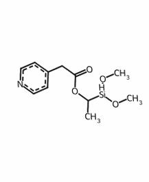 CO[SiH](OC)C(C)OC(=O)Cc1ccncc1